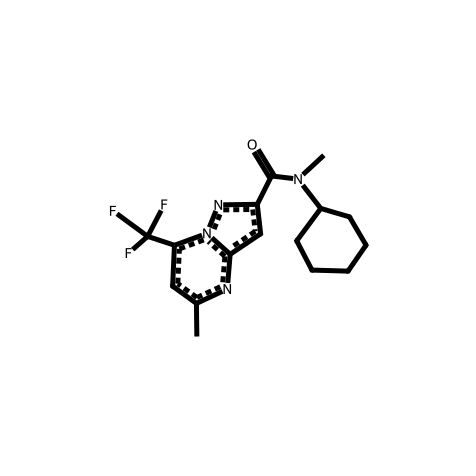 Cc1cc(C(F)(F)F)n2nc(C(=O)N(C)C3CCCCC3)cc2n1